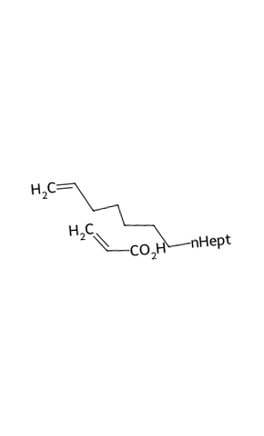 C=CC(=O)O.C=CCCCCCCCCCCCC